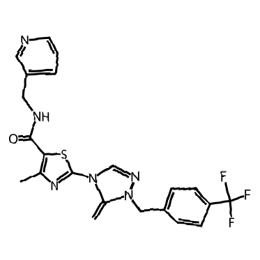 C=C1N(Cc2ccc(C(F)(F)F)cc2)N=CN1c1nc(C)c(C(=O)NCc2cccnc2)s1